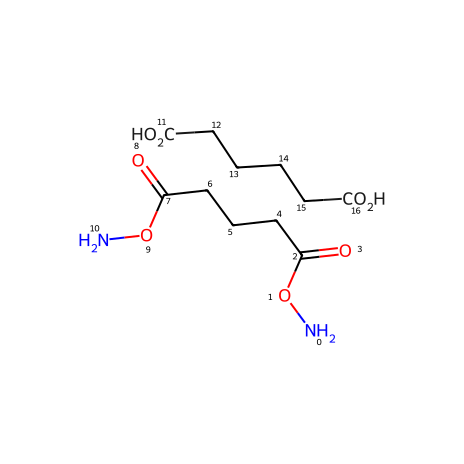 NOC(=O)CCCC(=O)ON.O=C(O)CCCCC(=O)O